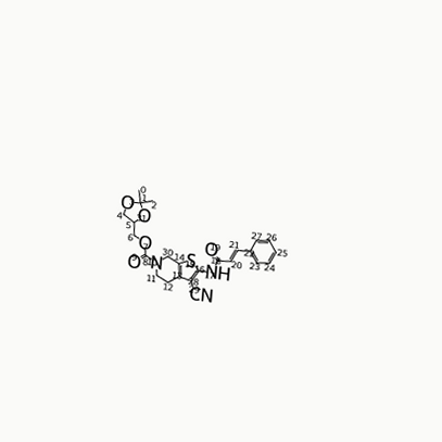 CC1(C)OCC(COC(=O)N2CCc3c(sc(NC(=O)/C=C/c4ccccc4)c3C#N)C2)O1